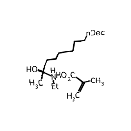 C=C(C)C(=O)O.CCCCCCCCCCCCCCCCC(C)(O)NCC